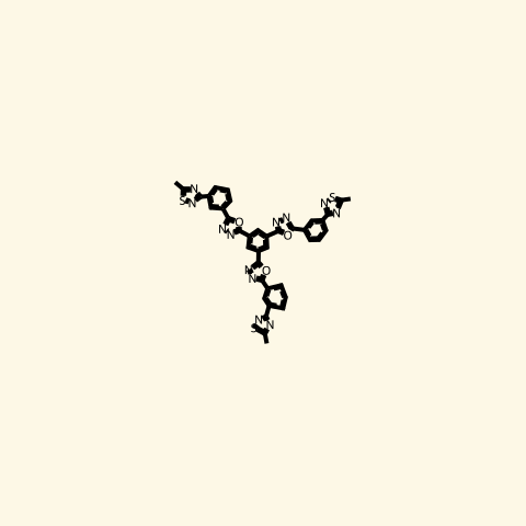 Cc1nc(-c2cccc(-c3nnc(-c4cc(-c5nnc(-c6cccc(-c7nsc(C)n7)c6)o5)cc(-c5nnc(-c6cccc(-c7nsc(C)n7)c6)o5)c4)o3)c2)ns1